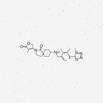 C=C(/C(C)=C(C)\C(=C/C)CNC1CCC2(CC1)CCN(C1=C(C)C(=O)OC1)C2=O)c1nnnn1C